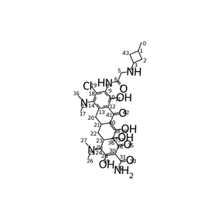 CC1CC(NCC(=O)Nc2c(O)c3c(c(N(C)C)c2Cl)CC2CC4[C@H](N(C)C)C(O)=C(C(N)=O)C(=O)[C@@]4(O)C(O)=C2C3=O)C1